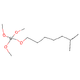 CO[Si](OC)(OC)OCCCCCC(C)C